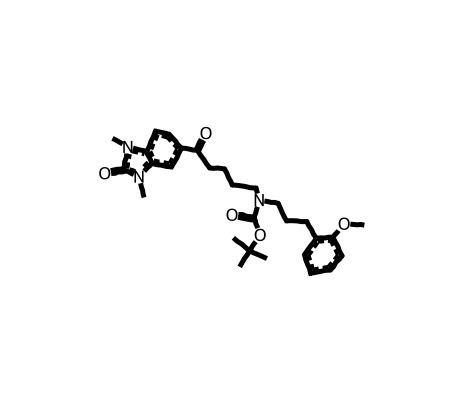 COc1ccccc1CCCN(CCCCC(=O)c1ccc2c(c1)n(C)c(=O)n2C)C(=O)OC(C)(C)C